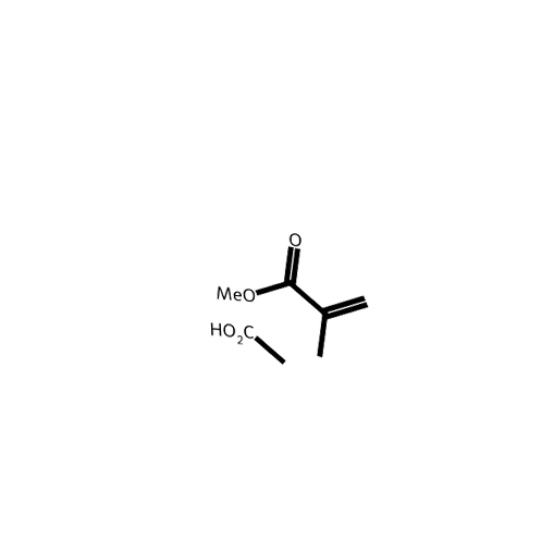 C=C(C)C(=O)OC.CC(=O)O